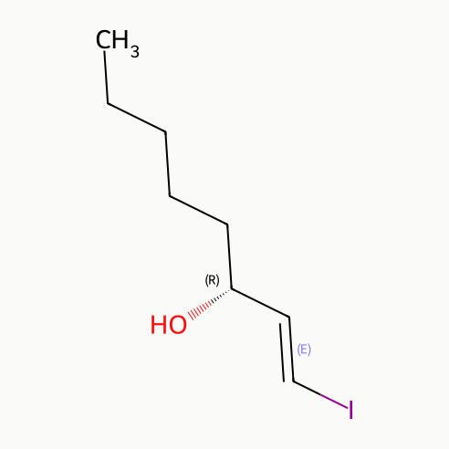 CCCCC[C@@H](O)/C=C/I